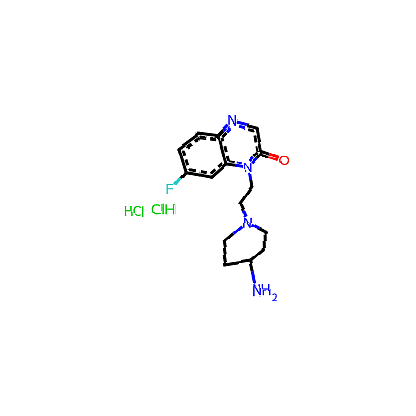 Cl.Cl.NC1CCN(CCn2c(=O)cnc3ccc(F)cc32)CC1